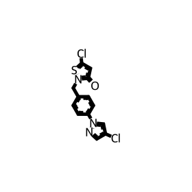 O=c1cc(Cl)sn1Cc1ccc(-n2cc(Cl)cn2)cc1